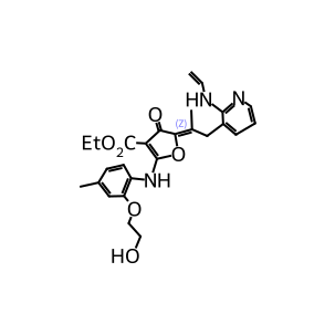 C=CNc1ncccc1C/C(C)=C1\OC(Nc2ccc(C)cc2OCCO)=C(C(=O)OCC)C1=O